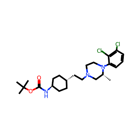 C[C@@H]1CN(CC[C@H]2CC[C@H](NC(=O)OC(C)(C)C)CC2)CCN1c1cccc(Cl)c1Cl